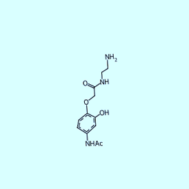 CC(=O)Nc1ccc(OCC(=O)NCCN)c(O)c1